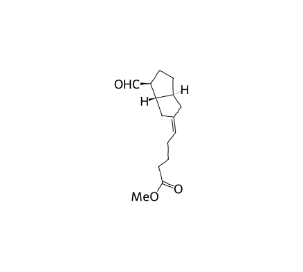 COC(=O)CCC/C=C1/C[C@@H]2CC[C@H](C=O)[C@H]2C1